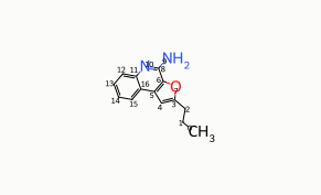 CCCc1cc2c(o1)c(N)nc1ccccc12